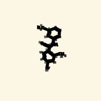 Cc1cccc(NC(=O)c2ncc(Br)cc2C)n1